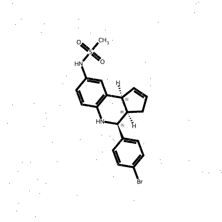 CS(=O)(=O)Nc1ccc2c(c1)[C@H]1C=CC[C@H]1[C@@H](c1ccc(Br)cc1)N2